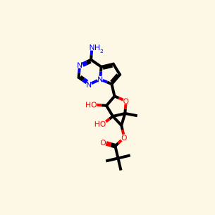 CC(C)(C)C(=O)OC1C2(C)OC(c3ccc4c(N)ncnn34)C(O)C12O